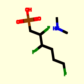 CNC.O=S(=O)(O)CC(F)C(F)CCCF